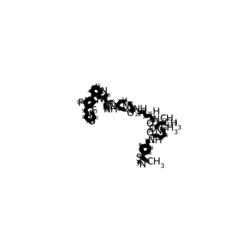 Cc1ncsc1-c1ccc(CNC(=O)C2CCCN2C(=O)C(NC(=O)CCCCNC(=O)CN2CCC(N/C=C(\C=N)c3cnc4cccc(-c5cc(F)c(CN6CCOCC6)c(F)c5)c4n3)CC2)C(C)(C)C)cc1